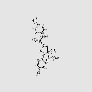 COC(=O)C1(C)CN(C(=O)Nc2ccc(C)cc2)N=C1c1ccc(Cl)cc1